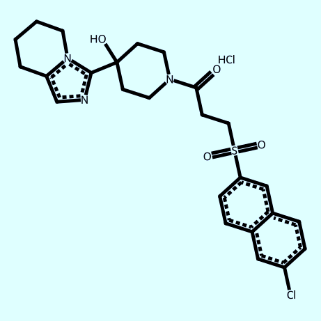 Cl.O=C(CCS(=O)(=O)c1ccc2cc(Cl)ccc2c1)N1CCC(O)(c2ncc3n2CCCC3)CC1